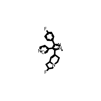 Cn1nc(-c2ccc(F)cc2)c(-c2ccncc2)c1C1=CC2CC(F)CN2CC1